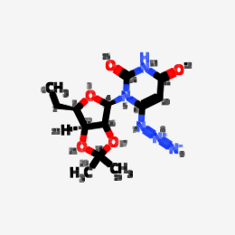 CC[C@H]1O[C@@H](n2c(N=[N+]=[N-])cc(=O)[nH]c2=O)C2OC(C)(C)O[C@H]21